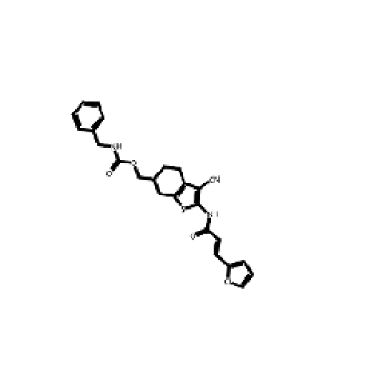 N#Cc1c(NC(=O)C=Cc2ccco2)sc2c1CCC(COC(=O)NCc1ccccc1)C2